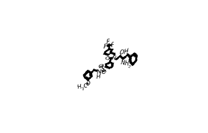 COc1cccc(CNS(=O)(=O)c2cccc(C(=O)N(Cc3cccc(C(F)(F)F)c3)C[C@H](O)[C@@H](N)Cc3ccccc3)c2)c1